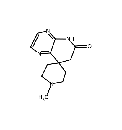 CN1CCC2(CC1)CC(=O)Nc1nccnc12